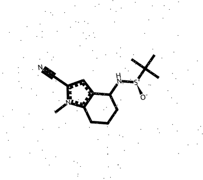 Cn1c(C#N)cc2c1CCCC2N[S@+]([O-])C(C)(C)C